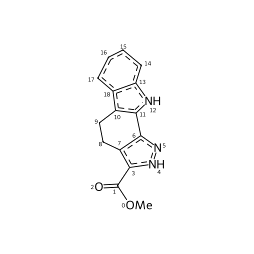 COC(=O)c1[nH]nc2c1CCc1c-2[nH]c2ccccc12